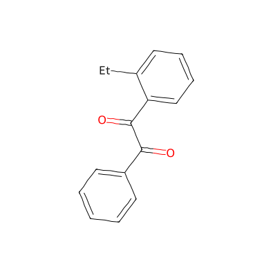 CCc1ccccc1C(=O)C(=O)c1ccccc1